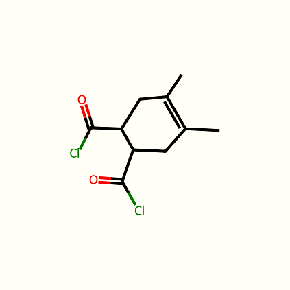 CC1=C(C)CC(C(=O)Cl)C(C(=O)Cl)C1